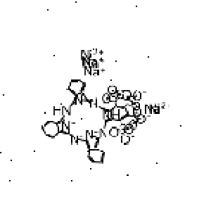 O=S(=O)([O-])c1c(S(=O)(=O)[O-])c(S(=O)(=O)[O-])c2c3[n-]c4[n-]c([n-]c5[n-]c([nH]c6nc(nc([nH]3)c2c1S(=O)(=O)[O-])-c1ccccc1-6)c1ccccc51)c1ccccc41.[Na+].[Na+].[Na+].[Na+].[Ni+2].[Ni+2]